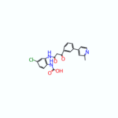 Cc1cc(-c2cccc(C(=O)CC(=O)Nc3cc(Cl)ccc3NC(=O)O)c2)ccn1